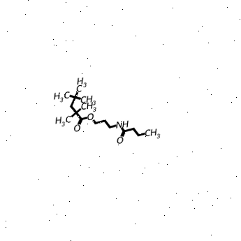 CCCC(=O)NCCCOC(=O)C(C)(C)CC(C)(C)C